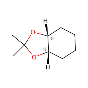 CC1(C)O[C@H]2CCCC[C@H]2O1